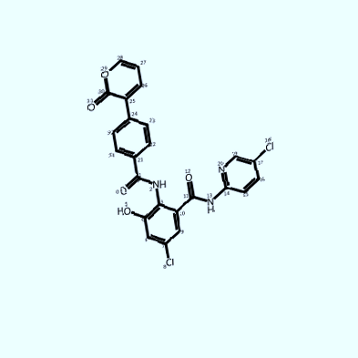 O=C(Nc1c(O)cc(Cl)cc1C(=O)Nc1ccc(Cl)cn1)c1ccc(-c2cccoc2=O)cc1